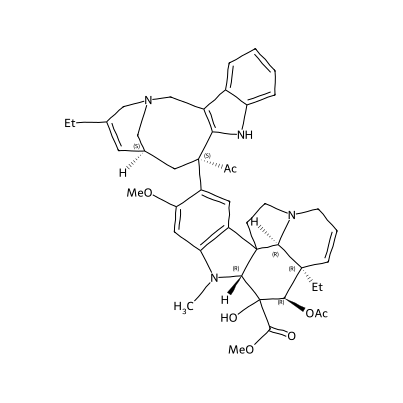 CCC1=C[C@H]2CN(C1)Cc1c([nH]c3ccccc13)[C@@](C(C)=O)(c1cc3c(cc1OC)N(C)[C@H]1C(O)(C(=O)OC)[C@H](OC(C)=O)[C@]4(CC)C=CCN5CCC31[C@@H]54)C2